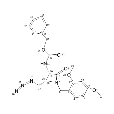 COc1ccc(CN2C(=O)[C@@H](NC(=O)OCc3ccccc3)[C@H]2CN=[N+]=[N-])c(OC)c1